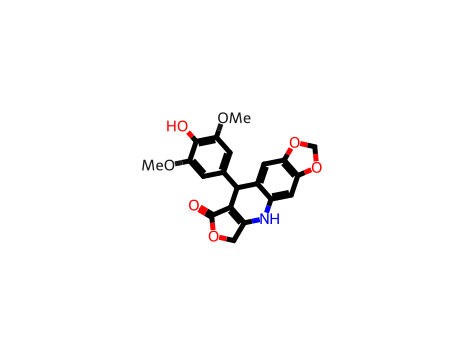 COc1cc(C2C3=C(COC3=O)Nc3cc4c(cc32)OCO4)cc(OC)c1O